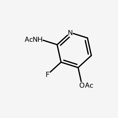 CC(=O)Nc1nccc(OC(C)=O)c1F